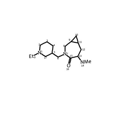 CCN1CCCC(CN2CC3CC3CC(NC)C2=O)C1